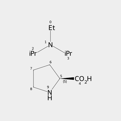 CCN(C(C)C)C(C)C.O=C(O)[C@@H]1CCCN1